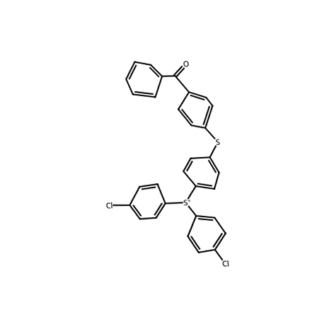 O=C(c1ccccc1)c1ccc(Sc2ccc([S+](c3ccc(Cl)cc3)c3ccc(Cl)cc3)cc2)cc1